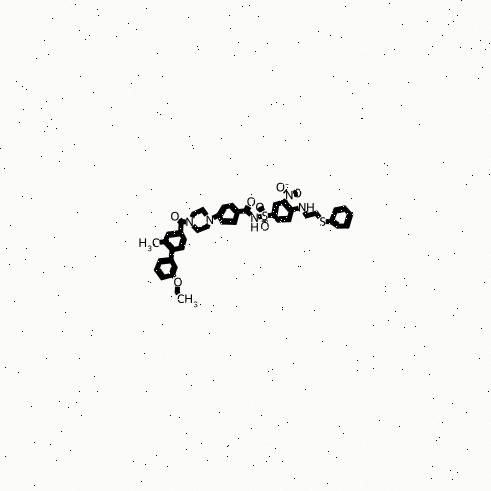 CCOc1cccc(-c2ccc(C(=O)N3CCN(c4ccc(C(=O)NS(=O)(=O)c5ccc(NCCSc6ccccc6)c([N+](=O)[O-])c5)cc4)CC3)cc2C)c1